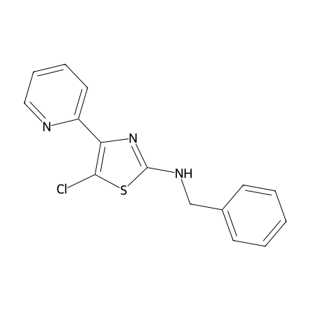 Clc1sc(NCc2ccccc2)nc1-c1ccccn1